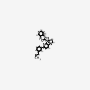 C/N=C/c1cccc(-c2ccc3c(n2)N(C(=O)Nc2ccncc2F)[C@H]2CCN3C2)c1